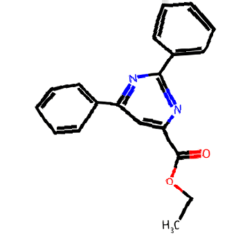 CCOC(=O)c1cc(-c2ccccc2)nc(-c2ccccc2)n1